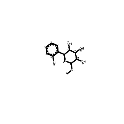 CSC1OC(c2ccccc2Cl)C(O)C(O)C1O